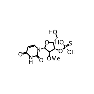 CO[C@@H]1[C@H](OP(O)(O)=S)[C@@H](CO)O[C@H]1n1ccc(=O)[nH]c1=O